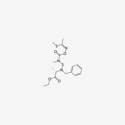 CCOC(=O)[C@H](C)N(Cc1ccccc1)SN(C)C(=O)O/N=C(/C)SC